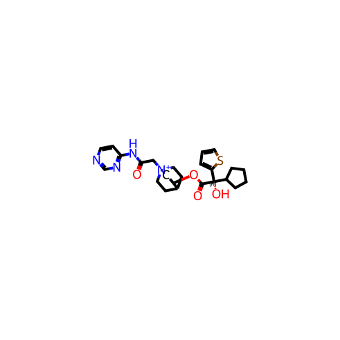 O=C(C[N+]12CCC(CC1)C(OC(=O)[C@@](O)(c1cccs1)C1CCCC1)C2)Nc1ccncn1